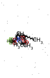 CCCCCCC=C1C[C@H](CC2C(=O)N=C(NOC(=O)C(F)(F)C(F)(F)F)C=CC2C)O[C@@H]1COC(=O)[C@H](C)C(C)CC